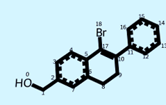 OCc1ccc2c(c1)CCC(c1ccccc1)=C2Br